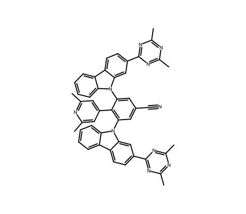 Cc1cc(-c2c(-n3c4ccccc4c4ccc(-c5nc(C)nc(C)n5)cc43)cc(C#N)cc2-n2c3ccccc3c3ccc(-c4nc(C)nc(C)n4)cc32)cc(C)n1